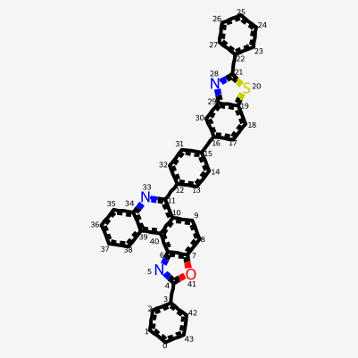 c1ccc(-c2nc3c(ccc4c(-c5ccc(-c6ccc7sc(-c8ccccc8)nc7c6)cc5)nc5ccccc5c43)o2)cc1